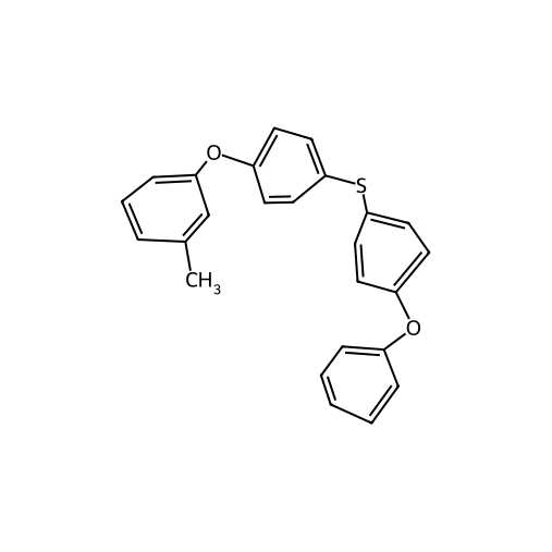 Cc1cccc(Oc2ccc(Sc3ccc(Oc4ccccc4)cc3)cc2)c1